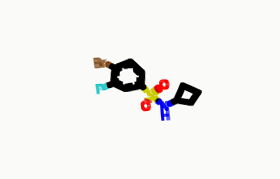 O=S(=O)(NC1CCC1)c1ccc(Br)c(F)c1